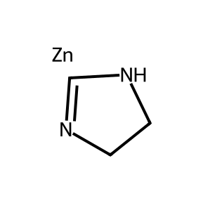 C1=NCCN1.[Zn]